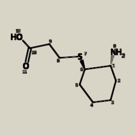 N[C@@H]1CCCC[C@H]1SCCC(=O)O